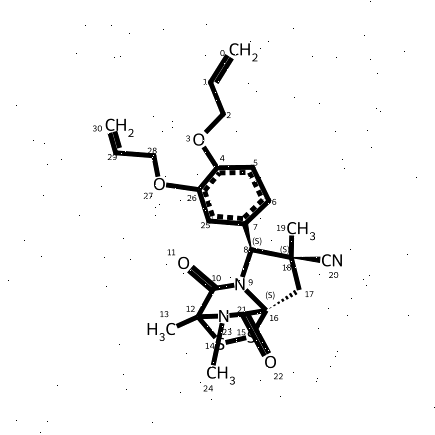 C=CCOc1ccc([C@@H]2N3C(=O)C4(C)SS[C@@]3(C[C@]2(C)C#N)C(=O)N4C)cc1OCC=C